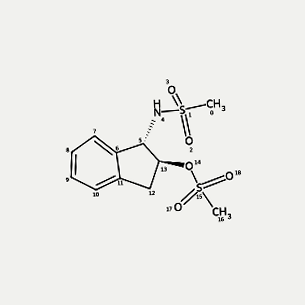 CS(=O)(=O)N[C@H]1c2ccccc2C[C@@H]1OS(C)(=O)=O